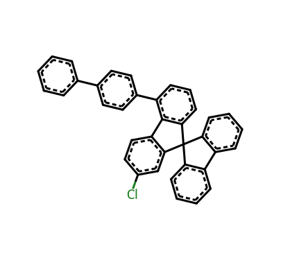 Clc1ccc2c(c1)C1(c3ccccc3-c3ccccc31)c1cccc(-c3ccc(-c4ccccc4)cc3)c1-2